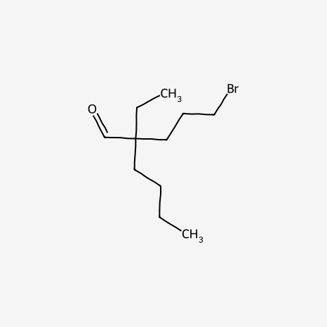 CCCCC(C=O)(CC)CCCBr